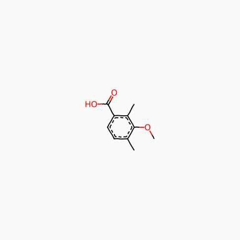 COc1c(C)ccc(C(=O)O)c1C